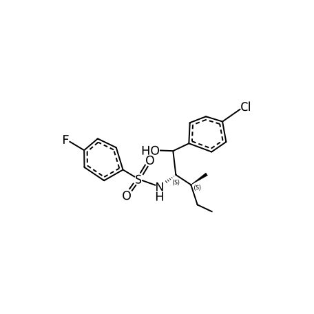 CC[C@H](C)[C@H](NS(=O)(=O)c1ccc(F)cc1)C(O)c1ccc(Cl)cc1